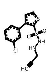 C#CCNNS(=O)(=O)c1sccc1-c1cccc(Cl)c1